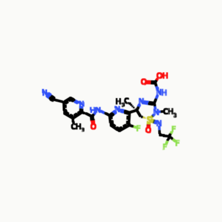 Cc1cc(C#N)cnc1C(=O)Nc1ccc(F)c([C@]2(C)C[S@@](=O)(=NCC(F)(F)F)N(C)C(NC(=O)O)=N2)n1